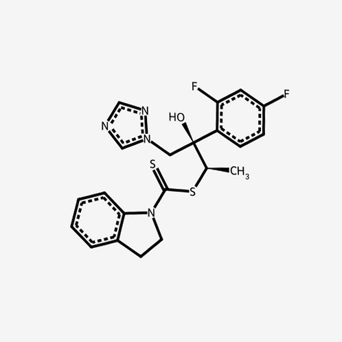 C[C@@H](SC(=S)N1CCc2ccccc21)[C@](O)(Cn1cncn1)c1ccc(F)cc1F